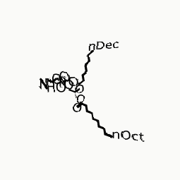 CCCCCCCC/C=C\CCCCCCCC(=O)OC[C@H](COP(=O)(O)OCC[N+](C)(C)C)OC(=O)CCCCCCCCCCCCCCCCC